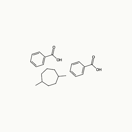 CC1CCCC(C)CC1.O=C(O)c1ccccc1.O=C(O)c1ccccc1